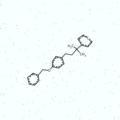 [CH2]C(C)(CCc1ccc(OCc2ccccc2)cc1)c1ccccc1